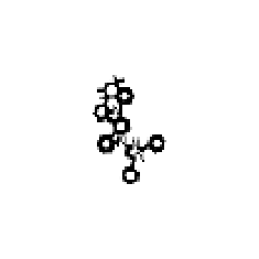 CC1CC(C)(C)c2cccc3c2C1(C)c1cccc2c4c5c6ccccc6n(-c6cc(-c7ccccc7)nc(-c7ccccc7)n6)c5ccc4n-3c12